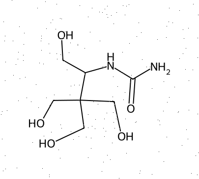 NC(=O)NC(CO)C(CO)(CO)CO